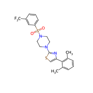 Cc1cccc(C)c1-c1csc(N2CCN(S(=O)(=O)c3cccc(C(F)(F)F)c3)CC2)n1